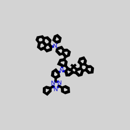 CC1(C)c2c(ccc3c4ccccc4c4ccccc4c23)-c2ccc3c(c21)c1cc(-c2cccc4cc(N(c5ccccc5)c5ccc6ccc7cccc8ccc5c6c78)ccc24)ccc1n3-c1cccc(-c2nc(-c3ccccc3)nc(-c3ccccc3)n2)c1